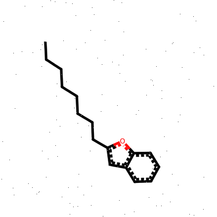 CCCCCCCCc1cc2ccccc2o1